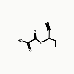 C#CC(CC)OC(=O)C(=O)O